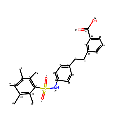 Cc1c(C)c(C)c(S(=O)(=O)Nc2ccc(CCc3cccc(C(=O)O)c3)cc2)c(C)c1C